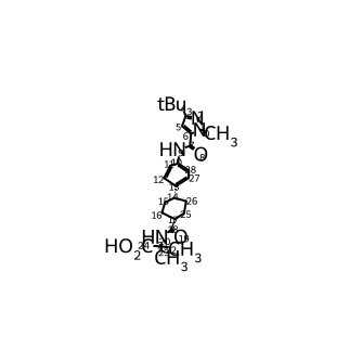 Cn1nc(C(C)(C)C)cc1C(=O)Nc1ccc([C@H]2CC[C@H](C(=O)NC(C)(C)C(=O)O)CC2)cc1